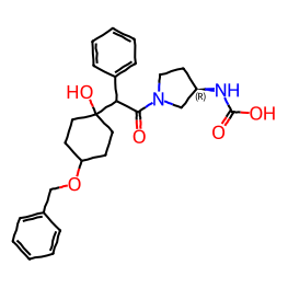 O=C(O)N[C@@H]1CCN(C(=O)C(c2ccccc2)C2(O)CCC(OCc3ccccc3)CC2)C1